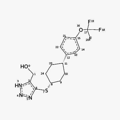 OCc1[nH]nnc1S[C@H]1CC[C@@H](c2ccc(OC(F)(F)F)cc2)CC1